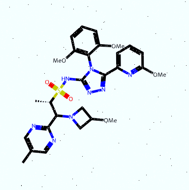 COc1cccc(-c2nnc(NS(=O)(=O)[C@@H](C)C(c3ncc(C)cn3)N3CC(OC)C3)n2-c2c(OC)cccc2OC)n1